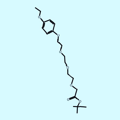 CCOc1ccc(OCCOCCOCCOCC(=O)OC(C)(C)C)cc1